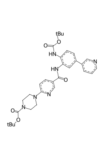 CC(C)(C)OC(=O)Nc1ccc(-c2cccnc2)cc1NC(=O)c1ccc(N2CCN(C(=O)OC(C)(C)C)CC2)nc1